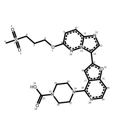 CS(=O)(=O)CCCOc1ccc2ncc(-c3cc4c(N5CCN(C(=O)O)CC5)nccc4o3)n2n1